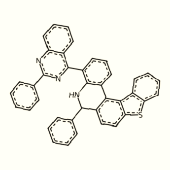 c1ccc(-c2nc(-c3cccc4c3NC(c3ccccc3)c3ccc5sc6ccccc6c5c3-4)c3ccccc3n2)cc1